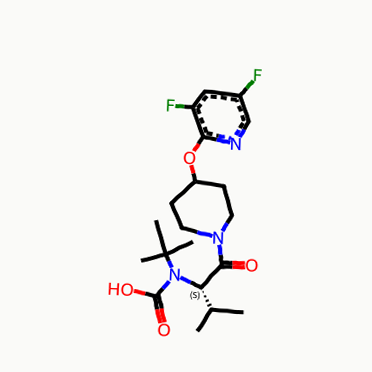 CC(C)[C@@H](C(=O)N1CCC(Oc2ncc(F)cc2F)CC1)N(C(=O)O)C(C)(C)C